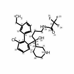 CCc1cccc(-c2c(Cl)cccc2[C@](O)(CCCNC(=O)C(F)(F)F)[C@@H]2CCCNC2)c1